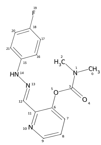 CN(C)C(=O)Oc1cccnc1C=NNc1ccc(F)cc1